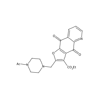 CCOC(=O)c1c(CN2CCN(C(C)=O)CC2)oc2c1C(=O)c1ncccc1C2=O